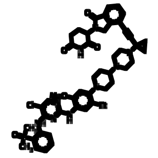 CCc1cc(Nc2ncc(Cl)c(Nc3ccccc3P(C)(C)=O)n2)c(OC)cc1N1CCC(N2CCN(C3(C#Cc4cccc5c4CN(C4CCC(=O)NC4=O)C5=O)CC3)CC2)CC1